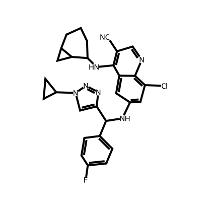 N#Cc1cnc2c(Cl)cc(NC(c3ccc(F)cc3)c3cn(C4CC4)nn3)cc2c1NC1CCCC2CC21